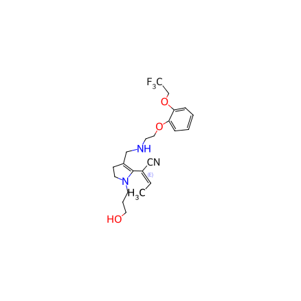 C/C=C(/C#N)C1=C(CNCCOc2ccccc2OCC(F)(F)F)CCN1CCCO